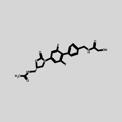 CC(=O)NC[C@H]1CN(c2cc(F)c(-c3ccc(CNC(=O)CO)cc3)c(F)c2)C(=O)O1